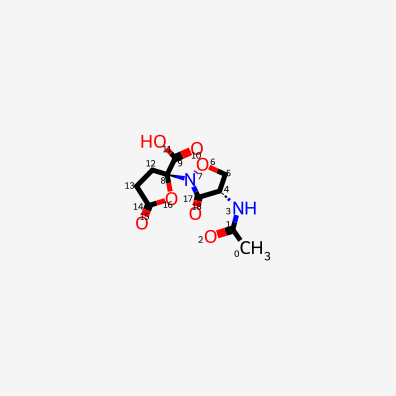 CC(=O)N[C@H]1CON([C@]2(C(=O)O)CCC(=O)O2)C1=O